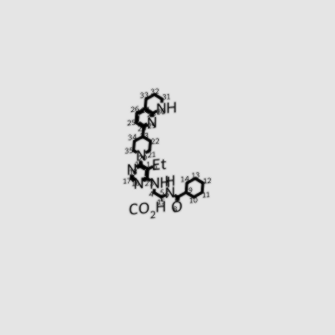 CCc1c(NC[C@H](NC(=O)C2CCCCC2)C(=O)O)ncnc1N1CCC(c2ccc3c(n2)NCCC3)CC1